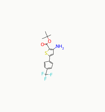 CC(C)(C)OC(=O)c1sc(-c2ccc(C(F)(F)F)cc2)cc1N